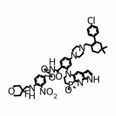 CC1(C)CCC(CN2CCN(c3ccc(C(=O)NS(=O)(=O)c4ccc(NCC5(F)CCOCC5)c([N+](=O)[O-])c4)c(N4CCP(C)(=O)c5nc6[nH]ccc6cc54)c3)CC2)=C(c2ccc(Cl)cc2)C1